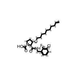 C=CCCCCCCCCO[C@@H]1CCN(C(=O)O)[C@@H]1C(=O)NCc1cccc(Cl)c1F